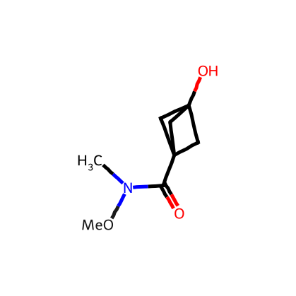 CON(C)C(=O)C12CC(O)(C1)C2